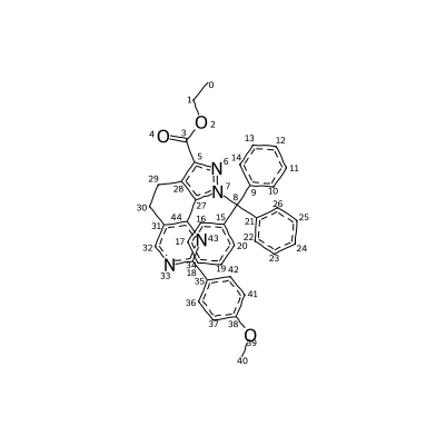 CCOC(=O)c1nn(C(c2ccccc2)(c2ccccc2)c2ccccc2)c2c1CCc1cnc(-c3ccc(OC)cc3)nc1-2